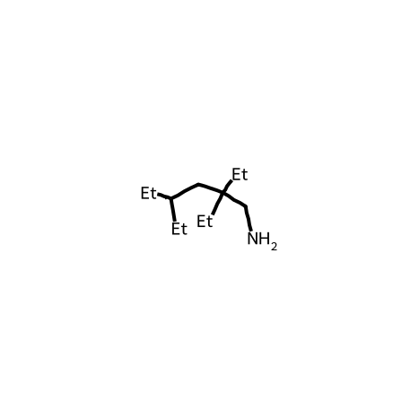 CC[C](CC)CC(CC)(CC)CN